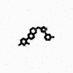 Cc1cccc(-n2cc(CN3CCc4cc(-c5ccc(C)nc5C)ccc4C3)cn2)c1